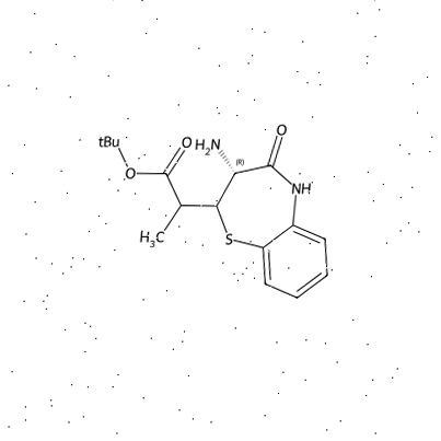 CC(C(=O)OC(C)(C)C)C1Sc2ccccc2NC(=O)[C@H]1N